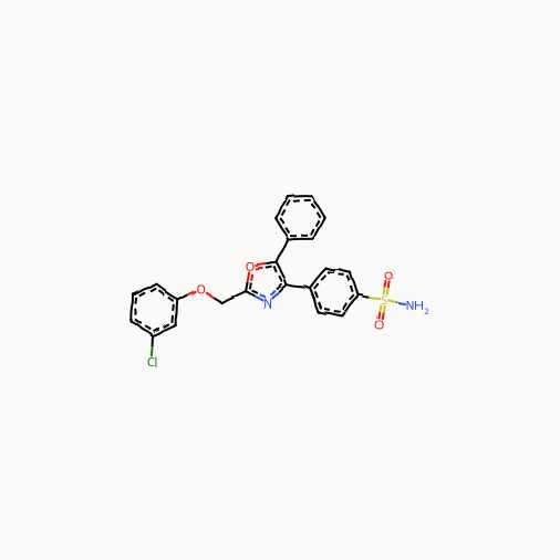 NS(=O)(=O)c1ccc(-c2nc(COc3cccc(Cl)c3)oc2-c2ccccc2)cc1